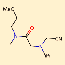 COCCN(C)C(=O)CN(CC#N)C(C)C